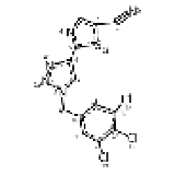 N#Cc1cnc(-c2cn(Cc3cc(Cl)c(Cl)c(Cl)c3)nn2)s1